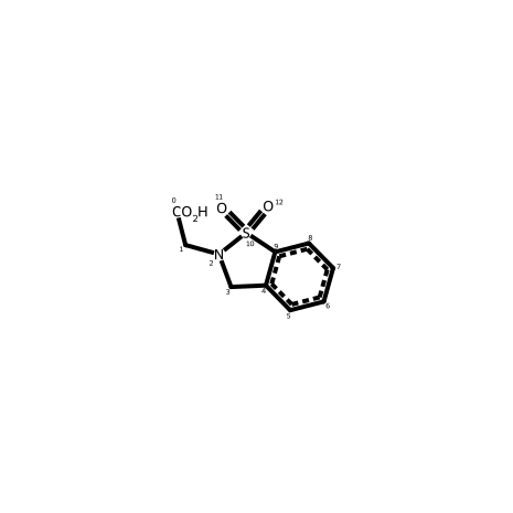 O=C(O)CN1Cc2ccccc2S1(=O)=O